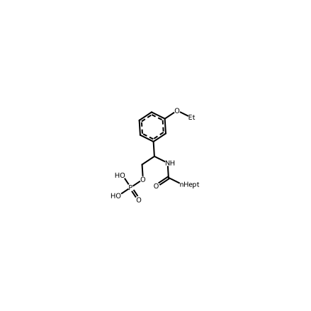 CCCCCCCC(=O)NC(COP(=O)(O)O)c1cccc(OCC)c1